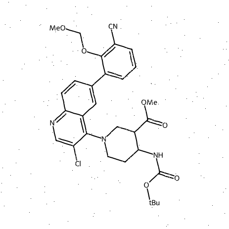 COCOc1c(C#N)cccc1-c1ccc2ncc(Cl)c(N3CCC(NC(=O)OC(C)(C)C)C(C(=O)OC)C3)c2c1